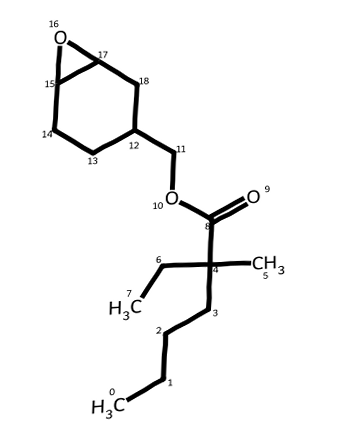 CCCCC(C)(CC)C(=O)OCC1CCC2OC2C1